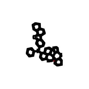 c1ccc(N(c2ccc3c(c2)oc2c4ccccc4ccc32)c2ccc3c4c(cccc24)C2(c4ccccc4Sc4ccccc42)c2ccccc2-3)cc1